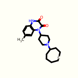 Cc1ccc2[nH]c(=O)c(=O)n(C3CCN(C4CCCCCCC4)CC3)c2c1